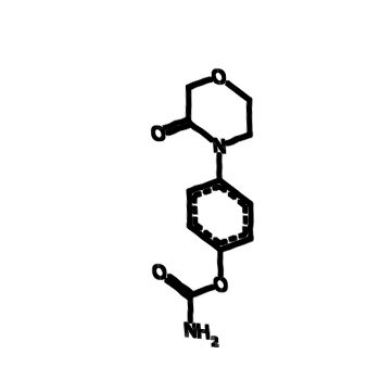 NC(=O)Oc1ccc(N2CCOCC2=O)cc1